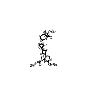 CCCCON1C(=O)N2C[C@@H]1CC[C@H]2c1cc(C2CC(N/C(=N\C(=O)OC(C)(C)C)NC(=O)OC(C)(C)C)C2)on1